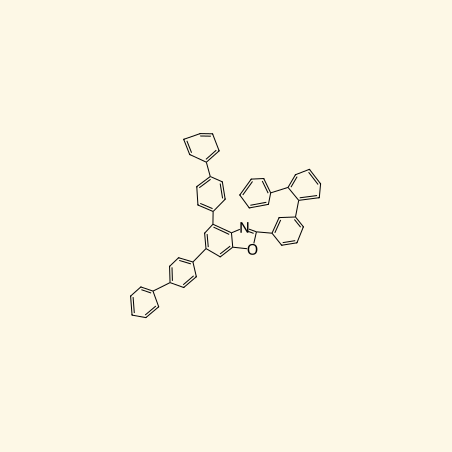 c1ccc(-c2ccc(-c3cc(-c4ccc(-c5ccccc5)cc4)c4nc(-c5cccc(-c6ccccc6-c6ccccc6)c5)oc4c3)cc2)cc1